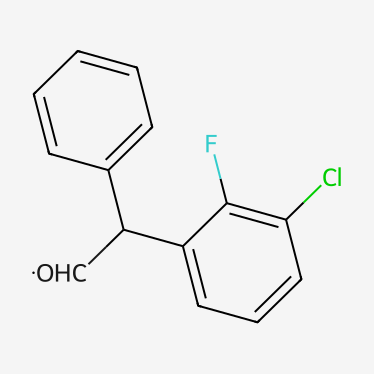 O=[C]C(c1ccccc1)c1cccc(Cl)c1F